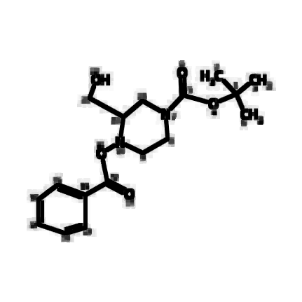 CC(C)(C)OC(=O)N1CCN(OC(=O)c2ccccc2)C(CO)C1